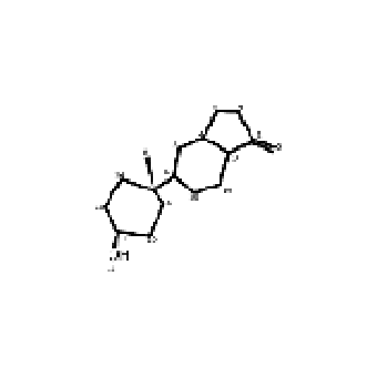 C=C1CCC2CC([C@]3(C)CC[C@@H](O)CC3)CCC12